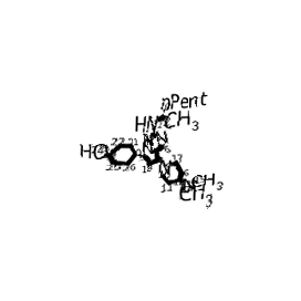 CCCCC[C@H](C)Nc1ncc2c(N3CCC(N(C)C)CC3)cc([C@H]3CC[C@H](O)CC3)n2n1